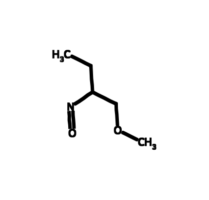 CCC(COC)N=O